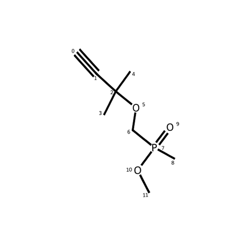 C#CC(C)(C)OCP(C)(=O)OC